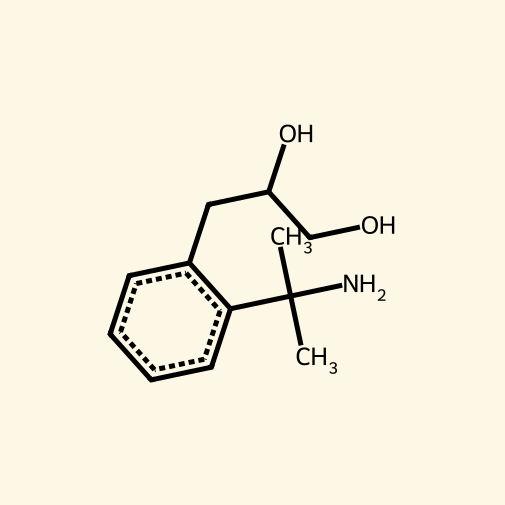 CC(C)(N)c1ccccc1CC(O)CO